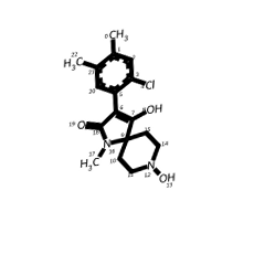 Cc1cc(Cl)c(C2=C(O)C3(CCN(O)CC3)N(C)C2=O)cc1C